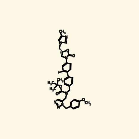 COc1ccc(Cn2nncc2CN(Cc2ccc(-c3ccc(N4C[C@H](Cn5cc(C)nn5)OC4=O)cc3F)cc2)C(=O)OC(C)(C)C)cc1